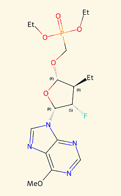 CCOP(=O)(CO[C@H]1O[C@@H](n2cnc3c(OC)ncnc32)[C@@H](F)[C@@H]1CC)OCC